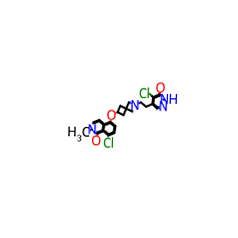 Cn1ccc2c(OC3CC4(C3)CN(CCc3cn[nH]c(=O)c3Cl)C4)ccc(Cl)c2c1=O